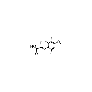 COc1cc(C)c(/C=C(\F)C(=O)O)c(C)c1C